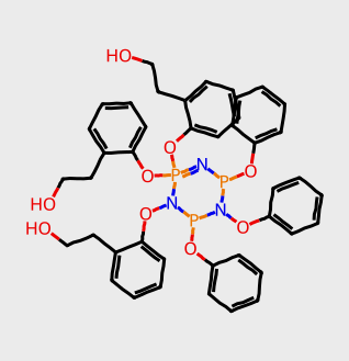 OCCc1ccccc1ON1P(Oc2ccccc2)N(Oc2ccccc2)P(Oc2ccccc2)N=P1(Oc1ccccc1CCO)Oc1ccccc1CCO